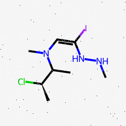 CNN/C(I)=C\N(C)C(C)[C@@H](C)Cl